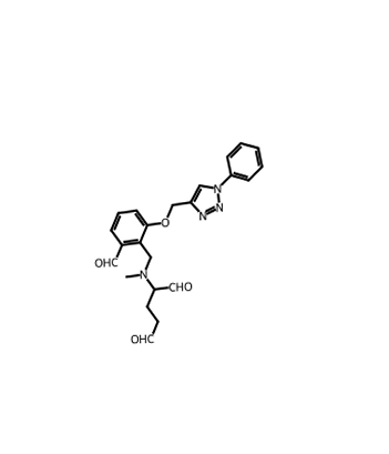 CN(Cc1c(C=O)cccc1OCc1cn(-c2ccccc2)nn1)C(C=O)CCC=O